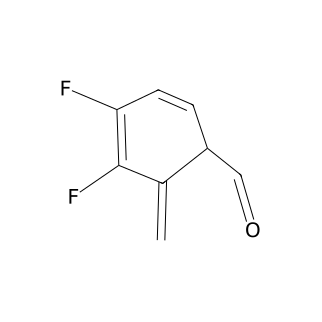 C=C1C(F)=C(F)C=CC1C=O